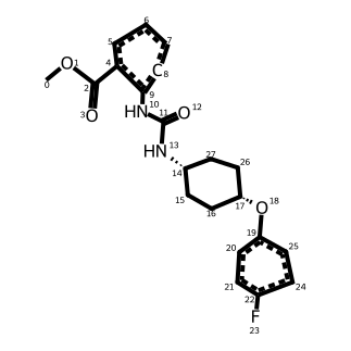 COC(=O)c1ccccc1NC(=O)N[C@H]1CC[C@@H](Oc2ccc(F)cc2)CC1